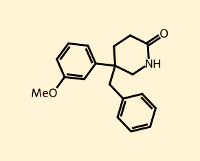 COc1cccc(C2(Cc3ccccc3)CCC(=O)NC2)c1